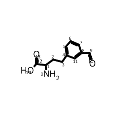 NC(CCc1cccc(C=O)c1)C(=O)O